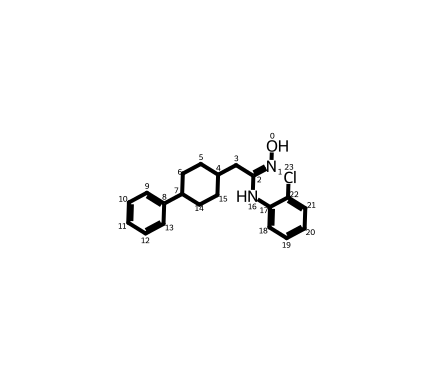 O/N=C(\CC1CCC(c2ccccc2)CC1)Nc1ccccc1Cl